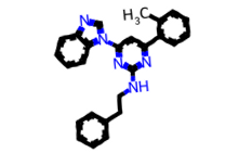 Cc1ccccc1-c1cc(-n2cnc3ccccc32)nc(NCCc2ccccc2)n1